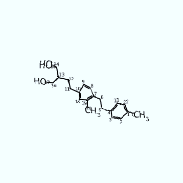 Cc1ccc(CCc2ccc(CCC(CO)CO)cc2C)cc1